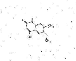 CCc1cc2c(O)cc(=O)[nH]c2cc1C